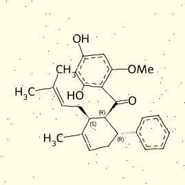 COc1cc(O)cc(O)c1C(=O)[C@@H]1[C@H](CC=C(C)C)C(C)=CC[C@H]1c1ccccc1